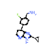 NCc1ccc(-c2ccnc3[nH]c(C4CC4)nc23)cc1F